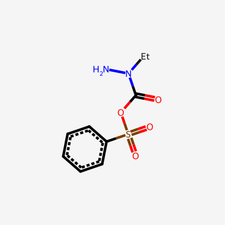 CCN(N)C(=O)OS(=O)(=O)c1ccccc1